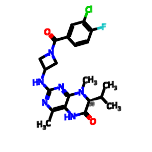 Cc1nc(NC2CN(C(=O)c3ccc(F)c(Cl)c3)C2)nc2c1NC(=O)[C@H](C(C)C)N2C